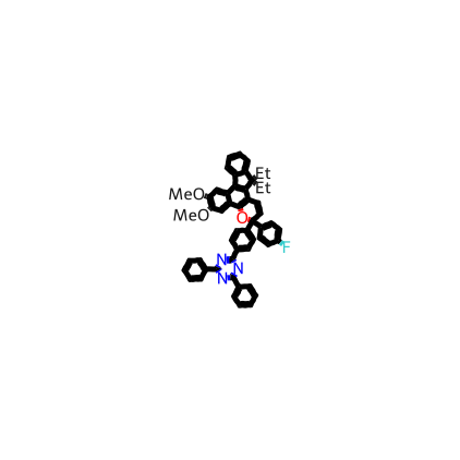 CCC1(CC)c2ccccc2-c2c1c1c(c3cc(OC)c(OC)cc23)OC(c2ccc(F)cc2)(c2ccc(-c3nc(-c4ccccc4)nc(-c4ccccc4)n3)cc2)C=C1